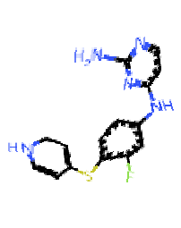 Nc1nccc(Nc2ccc(SC3=CCNC=C3)c(F)c2)n1